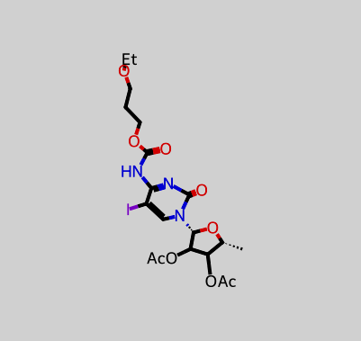 CCOCCCOC(=O)Nc1nc(=O)n([C@@H]2O[C@H](C)C(OC(C)=O)C2OC(C)=O)cc1I